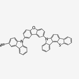 N#Cc1ccc2c(c1)c1ccccc1n2-c1ccc2oc3ccc(-n4c5ccccc5c5c6sc7ccccc7c6ccc54)cc3c2c1